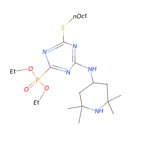 CCCCCCCCSc1nc(NC2CC(C)(C)NC(C)(C)C2)nc(P(=O)(OCC)OCC)n1